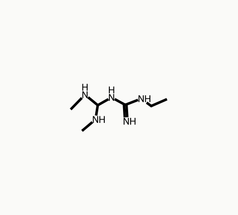 CCNC(=N)NC(NC)NC